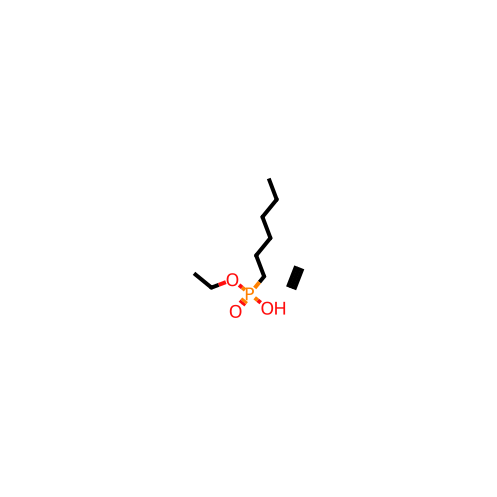 C#C.CCCCCCP(=O)(O)OCC